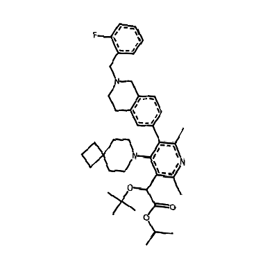 Cc1nc(C)c(C(OC(C)(C)C)C(=O)OC(C)C)c(N2CCC3(CCC3)CC2)c1-c1ccc2c(c1)CCN(Cc1ccccc1F)C2